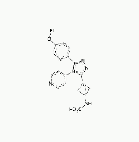 CCOc1ccc(-c2nnc(C34CC(NC(=O)O)(C3)C4)n2-c2ccncc2)nc1